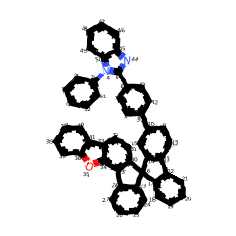 c1ccc(-n2c(-c3ccc(-c4ccc5c(c4)C4(c6ccccc6-5)c5ccccc5-c5c4ccc4c5oc5ccccc54)cc3)nc3ccccc32)cc1